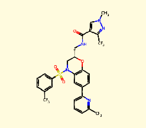 Cn1cc(C(=O)NC[C@H]2CN(S(=O)(=O)c3cccc(C(F)(F)F)c3)c3cc(-c4cccc(C(F)(F)F)n4)ccc3O2)c(C(F)(F)F)n1